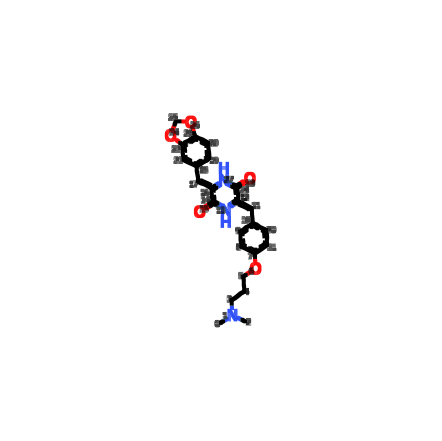 CN(C)CCCOc1ccc(/C=c2\[nH]c(=O)/c(=C/c3ccc4c(c3)OCO4)[nH]c2=O)cc1